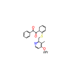 CCCOc1ccnc(CSC2=CC=CCC2C(=O)C(=O)c2ccccc2)c1C